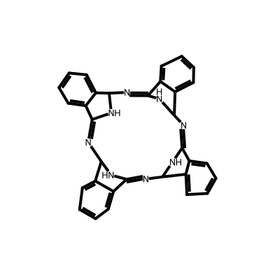 c1ccc2c(c1)/C1=N/C3N/C(=N\C4N/C(=N\C5N/C(=N\C2N1)c1ccccc15)c1ccccc14)c1ccccc13